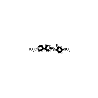 O=C(O)N1CCC(c2cnc(COc3ccc([N+](=O)[O-])cc3F)nc2)CC1